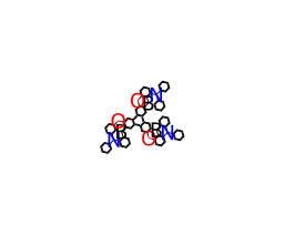 c1ccc(N2c3ccccc3B3c4cc5c(cc4Oc4cccc2c43)c2cc3c(cc2c2cc4c(cc52)Oc2cccc5c2B4c2ccccc2N5c2ccccc2)B2c4ccccc4N(c4ccccc4)c4cccc(c42)O3)cc1